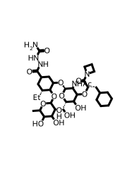 CC[C@@H]1CC(C(=O)NNC(N)=O)CC(O[C@@H]2O[C@@H](CO)C(O)C(O[C@@H](CC3CCCCC3)C(=O)N3CCC3)C2NC(C)=O)C1OC1OC(C)C(O)C(O)C1O